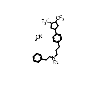 CC#N.CCN(CCCc1ccc(C2CC(C(F)(F)F)C(C(F)(F)F)C2)cc1)CCc1ccccc1